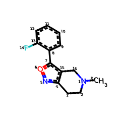 CN1CCc2noc(-c3ccccc3F)c2C1